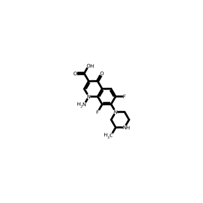 CC1CN(c2c(F)cc3c(=O)c(C(=O)O)cn(N)c3c2F)CCN1